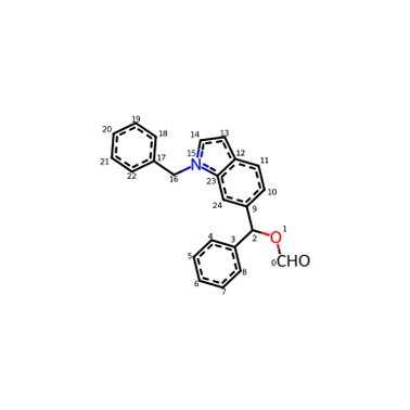 O=COC(c1ccccc1)c1ccc2ccn(Cc3ccccc3)c2c1